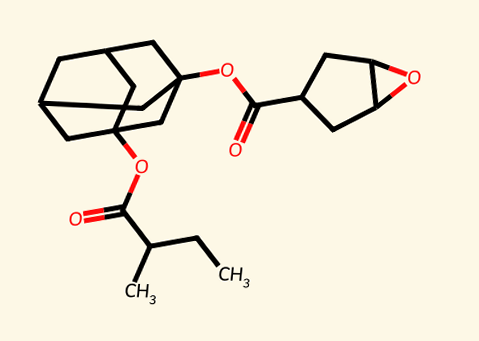 CCC(C)C(=O)OC12CC3CC(C1)CC(OC(=O)C1CC4OC4C1)(C3)C2